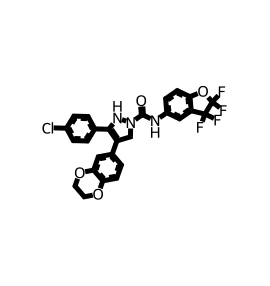 O=C(Nc1ccc2c(c1)C(F)(F)C(F)(F)O2)N1CC(c2ccc3c(c2)OCCO3)=C(c2ccc(Cl)cc2)N1